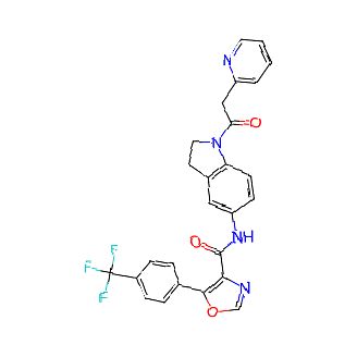 O=C(Nc1ccc2c(c1)CCN2C(=O)Cc1ccccn1)c1ncoc1-c1ccc(C(F)(F)F)cc1